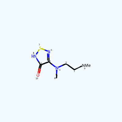 CNCCN(C)c1ns[nH]c1=O